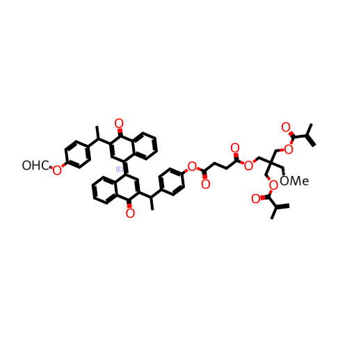 C=C(C)C(=O)OCC(COC)(COC(=O)CCC(=O)Oc1ccc(C(C)C2=C/C(=C3/C=C(C(C)c4ccc(OC=O)cc4)C(=O)c4ccccc43)c3ccccc3C2=O)cc1)COC(=O)C(=C)C